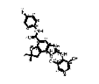 CC1(C)Cc2c(c(C(=O)Nc3ccc(F)cc3)cc3nc(Nc4c(Cl)cncc4Cl)[nH]c23)O1